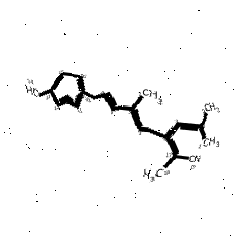 CC(C)=CC(/C=C(C)/C=C/c1ccc(O)cc1)=C(/C)C#N